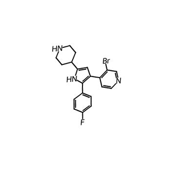 Fc1ccc(-c2[nH]c(C3CCNCC3)cc2-c2ccncc2Br)cc1